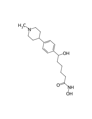 CN1CCC(c2ccc(C(O)CCCCC(=O)NO)cc2)CC1